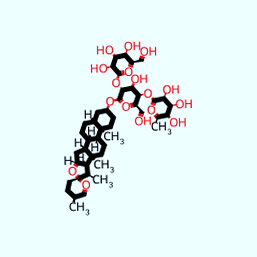 C[C@H]1CC[C@@]2(OC1)O[C@H]1C[C@H]3[C@@H]4CC[C@@H]5C[C@@H](O[C@@H]6O[C@H](CO)[C@@H](O[C@@H]7O[C@@H](C)[C@H](O)[C@@H](O)[C@H]7O)[C@H](O)[C@H]6O[C@@H]6O[C@H](CO)[C@@H](O)[C@H](O)[C@H]6O)CC[C@]5(C)[C@H]4CC[C@]3(C)[C@H]1[C@@H]2C